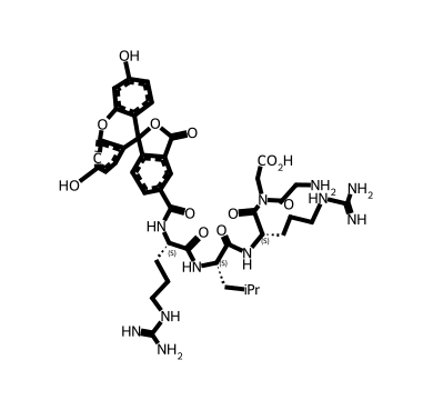 CC(C)C[C@H](NC(=O)[C@H](CCCNC(=N)N)NC(=O)c1ccc2c(c1)C(=O)OC21c2ccc(O)cc2Oc2cc(O)ccc21)C(=O)N[C@@H](CCCNC(=N)N)C(=O)N(CC(=O)O)C(=O)CN